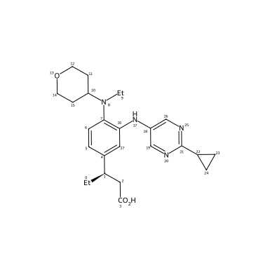 CC[C@H](CC(=O)O)c1ccc(N(CC)C2CCOCC2)c(Nc2cnc(C3CC3)nc2)c1